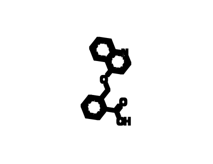 O=C(O)c1ccccc1COc1ccnc2ccccc12